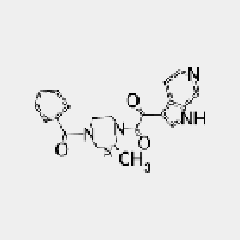 C[C@H]1CN(C(=O)c2ccccc2)CCN1C(=O)C(=O)c1c[nH]c2cnccc12